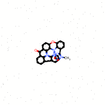 Cn1c2[n+](c3cccnc31)[N+]13c4c(cccc4-2)Oc2ccc4c(=O)c5cccc6c7ccc[n+]1c7n(c4c23)c56